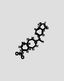 CC(c1ccc2scnc2c1)N1CCc2cc([N+](=O)[O-])cnc2CC1